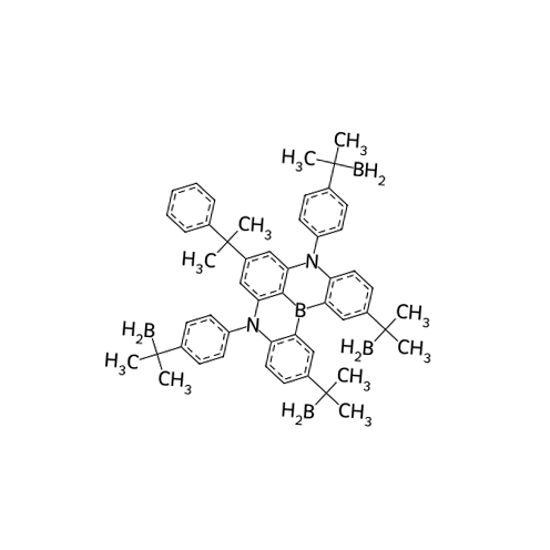 BC(C)(C)c1ccc(N2c3ccc(C(B)(C)C)cc3B3c4cc(C(B)(C)C)ccc4N(c4ccc(C(B)(C)C)cc4)c4cc(C(C)(C)c5ccccc5)cc2c43)cc1